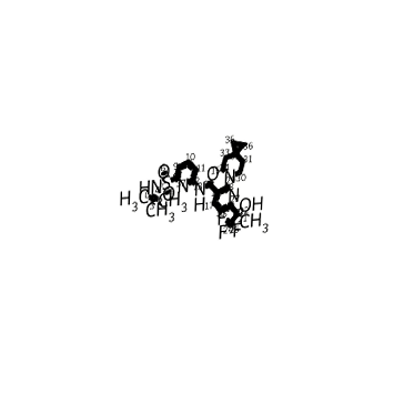 CC(C)(C)NS(=O)(=O)c1cccc(NC(=O)c2ccc([C@@](C)(O)C(F)(F)F)nc2N2CCC3(CC2)CC3)n1